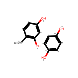 CCCCCCc1ccc(O)cc1O.Oc1ccc(O)cc1